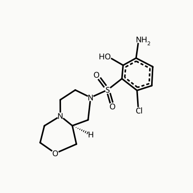 Nc1ccc(Cl)c(S(=O)(=O)N2CCN3CCOC[C@@H]3C2)c1O